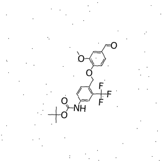 COc1cc(C=O)ccc1OCc1ccc(NC(=O)OC(C)(C)C)cc1C(F)(F)F